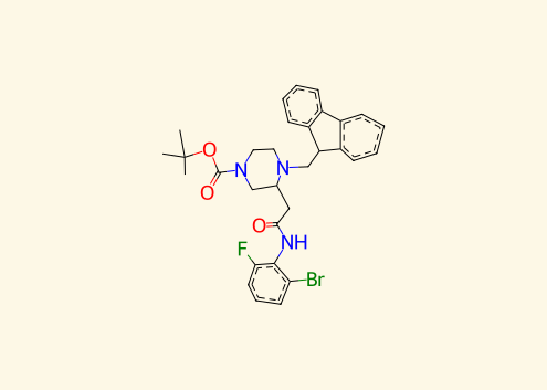 CC(C)(C)OC(=O)N1CCN(CC2c3ccccc3-c3ccccc32)C(CC(=O)Nc2c(F)cccc2Br)C1